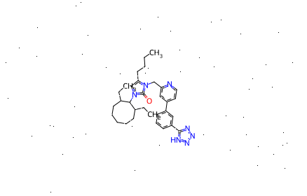 CCCCc1cn(C2C(CC)CCCCCC2CC)c(=O)n1Cc1cc(-c2cccc(-c3nnn[nH]3)c2)ccn1